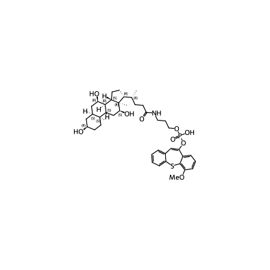 COc1cccc2c1Sc1ccccc1C=C2OP(=O)(O)OCCCNC(=O)CC[C@@H](C)[C@H]1CC[C@H]2[C@@H]3[C@H](O)C[C@@H]4C[C@H](O)CC[C@]4(C)[C@H]3C[C@H](O)[C@]12C